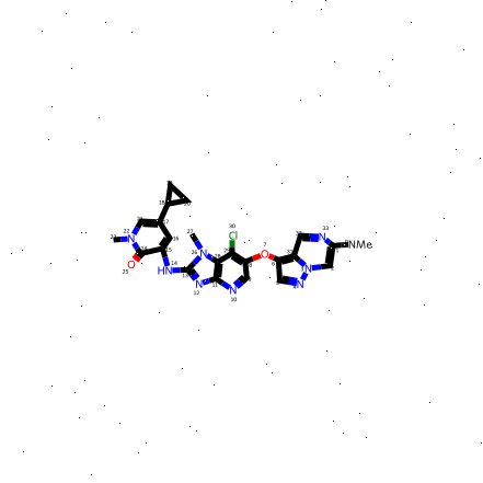 CNc1cn2ncc(Oc3cnc4nc(Nc5cc(C6CC6)cn(C)c5=O)n(C)c4c3Cl)c2cn1